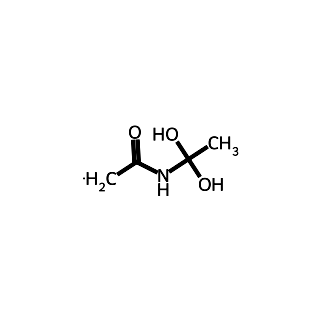 [CH2]C(=O)NC(C)(O)O